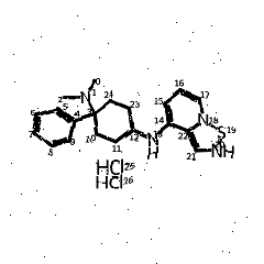 CN(C)C1(c2ccccc2)CCC(NC2=CC=CN3SNC=C23)CC1.Cl.Cl